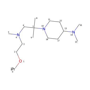 CC(C)OCCN(C)CC(C)(C)N1CCC(N(C)C)CC1